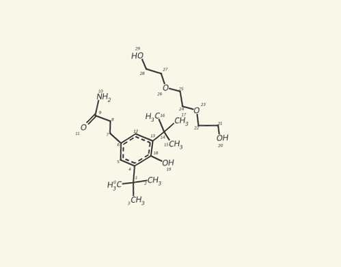 CC(C)(C)c1cc(CCC(N)=O)cc(C(C)(C)C)c1O.OCCOCCOCCO